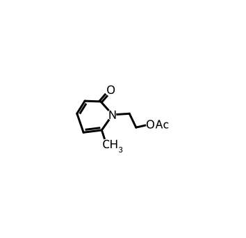 CC(=O)OCCn1c(C)cccc1=O